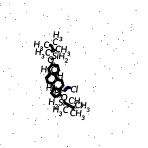 CC(C)C(C)(C)[SiH2]O[C@H]1CC[C@@]2(C)C(=CC[C@H]3[C@@H]4CC[C@H](O[SiH2]C(C)(C)C(C)C)[C@@]4(/C=C/Cl)CC[C@@H]32)C1